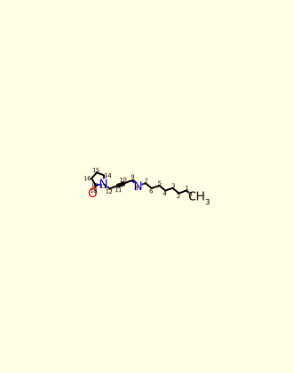 CCCCCCCCN=CC#CCN1CCCC1=O